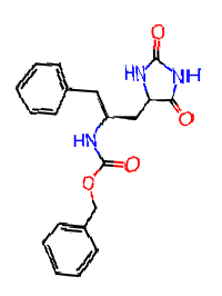 O=C1NC(=O)C(C[C@H](Cc2ccccc2)NC(=O)OCc2ccccc2)N1